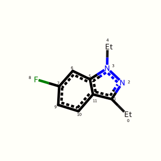 CCc1nn(CC)c2cc(F)ccc12